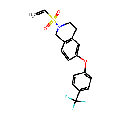 C=CS(=O)(=O)N1CCc2cc(Oc3ccc(C(F)(F)F)cc3)ccc2C1